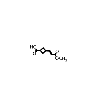 COC(=O)C=CC1CC(C(=O)O)C1